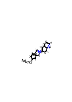 COc1ccc2c(c1)CN(c1ccc3ncccc3c1)C2